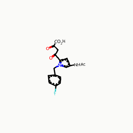 CC(=O)Nc1cc(C(=O)CC(=O)C(=O)O)n(Cc2ccc(F)cc2)c1